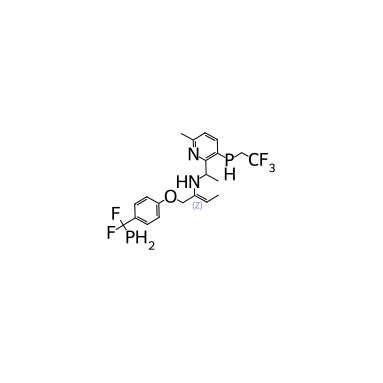 C/C=C(/COc1ccc(C(F)(F)P)cc1)NC(C)c1nc(C)ccc1PCC(F)(F)F